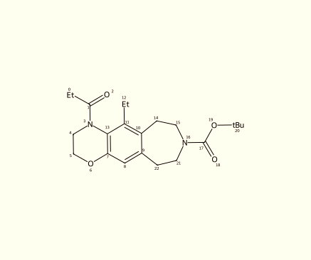 CCC(=O)N1CCOc2cc3c(c(CC)c21)CCN(C(=O)OC(C)(C)C)CC3